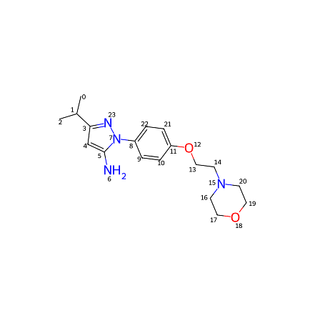 CC(C)c1cc(N)n(-c2ccc(OCCN3CCOCC3)cc2)n1